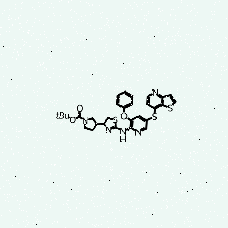 CC(C)(C)OC(=O)N1CCC(C2CSC(Nc3ncc(Sc4ccnc5ccsc45)cc3Oc3ccccc3)=N2)C1